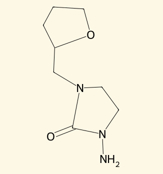 NN1CCN(CC2CCCO2)C1=O